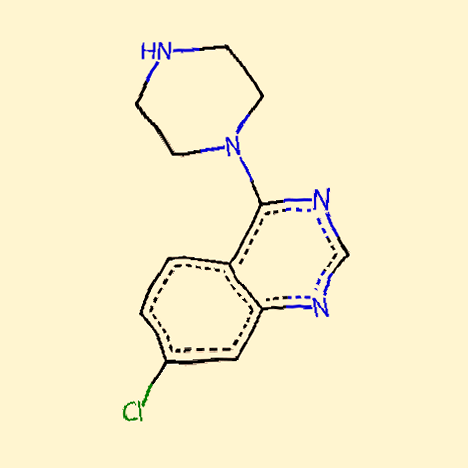 Clc1ccc2c(N3CCNCC3)ncnc2c1